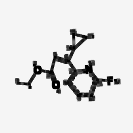 CCOC(=O)/C=C(\c1cccc(F)n1)C1CC1